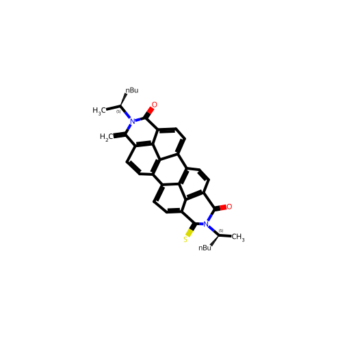 C=c1c2ccc3c4ccc5c6c(ccc(c7ccc(c(=O)n1[C@@H](C)CCCC)c2c37)c64)C(=O)N([C@@H](C)CCCC)C5=S